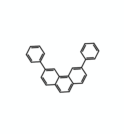 c1ccc(-c2ccc3ccc4ccc(-c5ccccc5)cc4c3c2)cc1